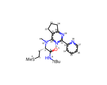 CSCC[C@@H](C(=O)NC(C)(C)C)N(C)c1nc(-c2ccccn2)nc2c1CCC2